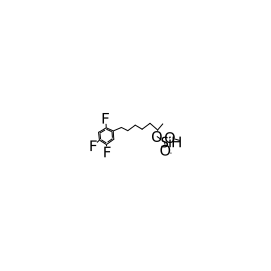 CO[SiH](OC)OC(C)CCCCCc1cc(F)c(F)cc1F